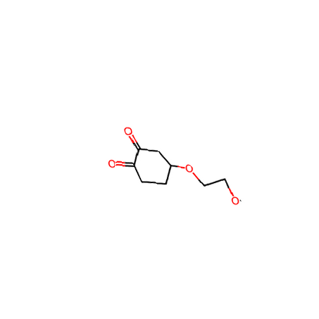 [O]CCOC1CCC(=O)C(=O)C1